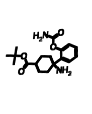 CC(C)(C)OC(=O)C1CCC(N)(c2ccccc2OC(N)=O)CC1